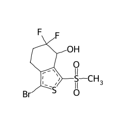 CS(=O)(=O)c1sc(Br)c2c1C(O)C(F)(F)CC2